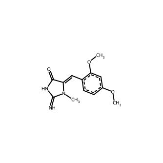 COc1ccc(/C=C2/C(=O)NC(=N)N2C)c(OC)c1